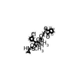 CC1=C(OC(=O)NC2CC2)C(c2cccc(Cl)c2)C(OC(=O)OCCN2C(=O)c3ccccc3C2=O)=C(C)N1